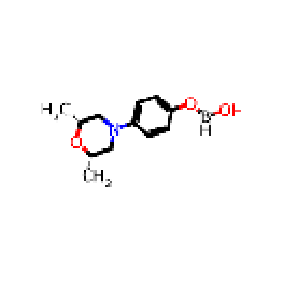 C[C@@H]1CN(c2ccc(OBO)cc2)C[C@H](C)O1